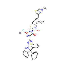 CN1C=C2SC=C(C=CC3(C(=O)O)CS[C@@H]4[C@H](NC(=O)C(=NOCF)c5nsc(NC(c6ccccc6)(c6ccccc6)c6ccccc6)n5)C(=O)N4C3)N2C1.I